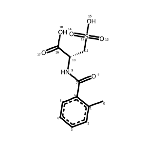 Cc1ccccc1C(=O)N[C@@H](CS(=O)(=O)O)C(=O)O